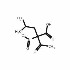 CC(=O)C(CC(C)C)(C(=O)O)[N+](=O)[O-]